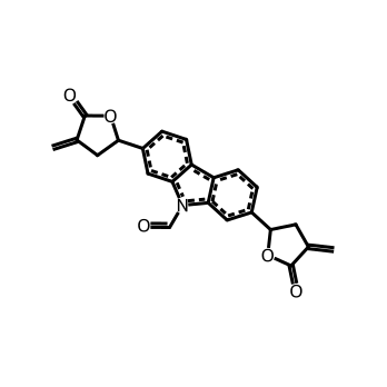 C=C1CC(c2ccc3c4ccc(C5CC(=C)C(=O)O5)cc4n(C=O)c3c2)OC1=O